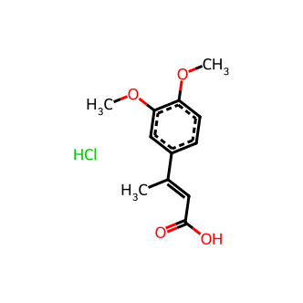 COc1ccc(C(C)=CC(=O)O)cc1OC.Cl